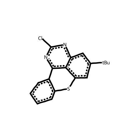 CC(C)(C)c1cc2c3c(nc(Cl)nc3c1)-c1ccccc1S2